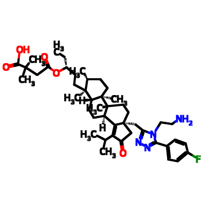 CC[C@H](CC[C@@]1(C)[C@H](C)CC[C@]2(C)[C@@H]1CC[C@@H]1C3=C(C(C)C)C(=O)C[C@]3(Cc3nnc(-c4ccc(F)cc4)n3CCN)CC[C@]12C)OC(=O)CC(C)(C)C(=O)O